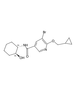 O=C(N[C@H]1CCCC[C@@H]1O)c1cnc(OCC2CC2)c(Br)c1